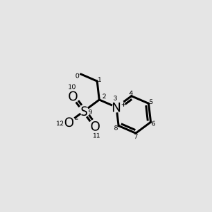 CCC([n+]1ccccc1)S(=O)(=O)[O-]